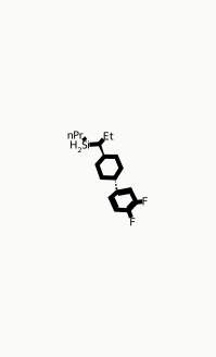 CCC[SiH2]C(CC)[C@H]1CC[C@H](c2ccc(F)c(F)c2)CC1